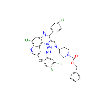 N#Cc1cnc2c(Cl)cc(N[C@@H](C3=CN(C4CCN(C(=O)OCc5ccccc5)CC4)NN3)c3ccc(Cl)cc3)cc2c1Nc1ccc(F)c(Cl)c1